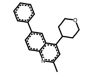 Cc1cc(C2CCOCC2)c2cc(-c3ccccc3)ccc2n1